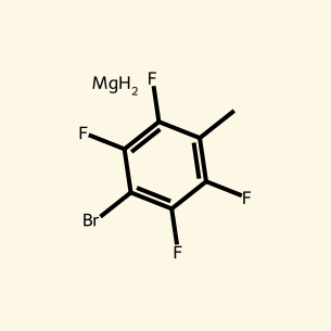 Cc1c(F)c(F)c(Br)c(F)c1F.[MgH2]